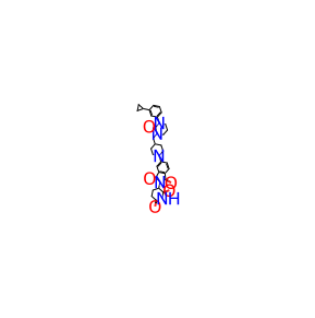 O=C1CCC(N2C(=O)c3ccc(N4CCC(CN5CCCN(c6cccc(C7CC7)c6)C5=O)CC4)cc3C2=O)C(=O)N1